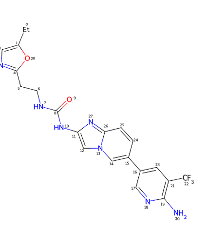 CCc1cnc(CCNC(=O)Nc2cn3cc(-c4cnc(N)c(C(F)(F)F)c4)ccc3n2)o1